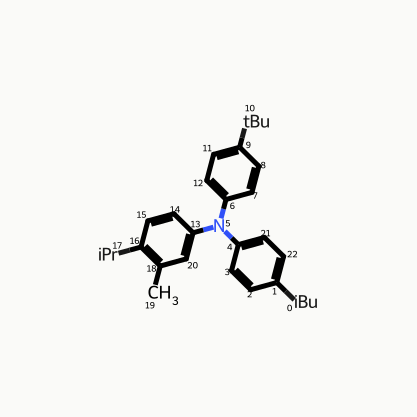 CCC(C)c1ccc(N(c2ccc(C(C)(C)C)cc2)c2ccc(C(C)C)c(C)c2)cc1